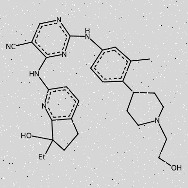 CCC1(O)CCc2ccc(Nc3nc(Nc4ccc(C5CCN(CCO)CC5)c(C)c4)ncc3C#N)nc21